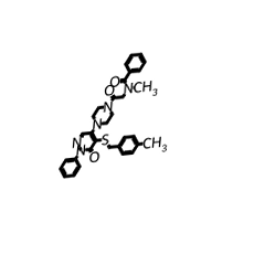 Cc1ccc(CSc2c(N3CCN(C(=O)CN(C)C(=O)c4ccccc4)CC3)cnn(-c3ccccc3)c2=O)cc1